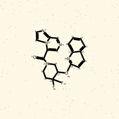 O=C(c1cncc2nccn12)N1CCC(F)(F)C(Oc2ccc3ccccc3n2)C1